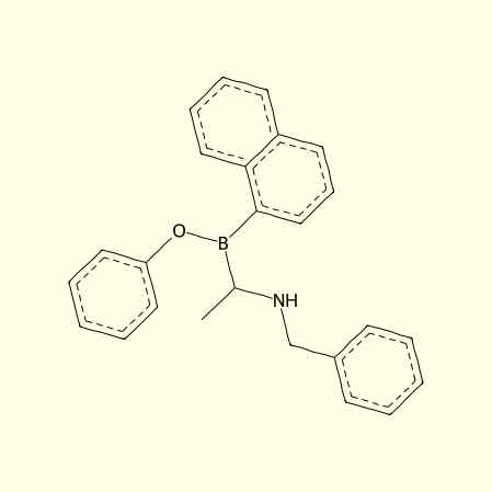 CC(NCc1ccccc1)B(Oc1ccccc1)c1cccc2ccccc12